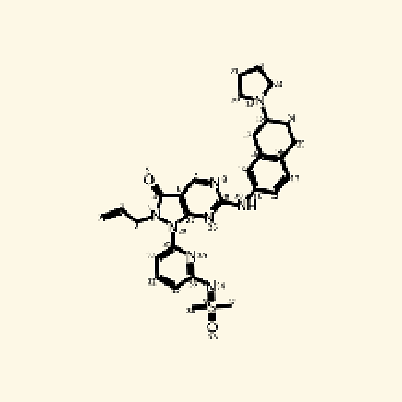 C=CCn1c(=O)c2cnc(Nc3ccc4c(c3)CC(N3CCCC3)CC4)nc2n1-c1cccc(N=S(C)(C)=O)n1